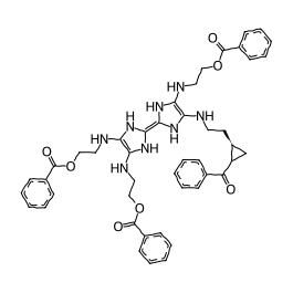 O=C(OCCNC1=C(NCCOC(=O)c2ccccc2)NC(=C2NC(NCCOC(=O)c3ccccc3)=C(NCC[C@H]3CC3C(=O)c3ccccc3)N2)N1)c1ccccc1